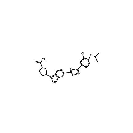 CC(C)Oc1ccc(-c2noc(-c3ccc4c(ccn4C4CCC(C(=O)O)C4)c3)n2)cc1Cl